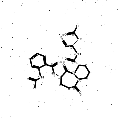 C=C(C)Nc1ccccc1C(=O)N[C@H]1CCC(=O)N2CCC[C@@H](C(=O)N[C@H](C=O)CC(=O)O)N2C1=O